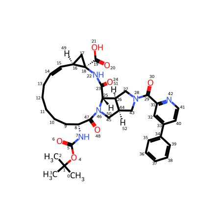 CC(C)(C)OC(=O)N[C@@H]1CCCCC/C=C\[C@H]2C[C@@]2(C(=O)O)NC(=O)[C@@H]2[C@H]3CN(C(=O)c4cc(-c5ccccc5)ccn4)C[C@H]3CN2C1=O